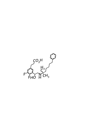 CC(C)(CCCCCc1ccccc1)NCC(O)c1cc(CCC(=O)O)cc(F)c1F